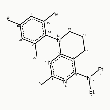 CCN(CC)c1nc(C)nc2c1CCCN2c1c(C)cc(C)cc1C